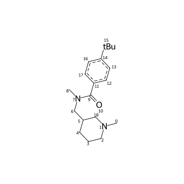 CN1CCCC(CN(C)C(=O)c2ccc(C(C)(C)C)cc2)C1